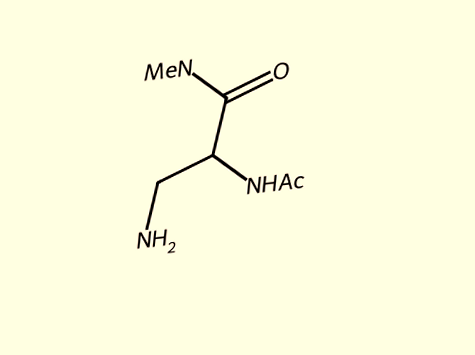 CNC(=O)C(CN)NC(C)=O